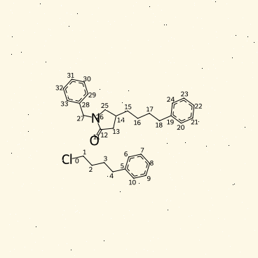 ClCCCCc1ccccc1.O=C1CC(CCCCc2ccccc2)CN1Cc1ccccc1